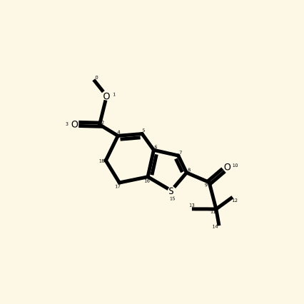 COC(=O)C1=Cc2cc(C(=O)C(C)(C)C)sc2CC1